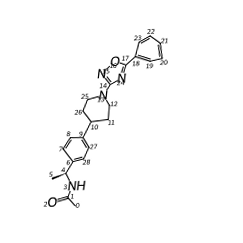 CC(=O)N[C@@H](C)c1ccc(C2CCN(c3noc(-c4ccccc4)n3)CC2)cc1